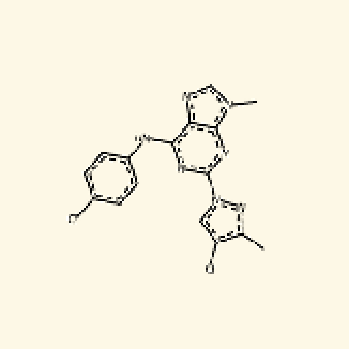 Cc1nn(-c2nc(Nc3ccc(Cl)cc3)c3ncn(C)c3n2)cc1Cl